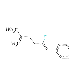 C=C(CCC(F)=Cc1ccccc1)C(=O)O